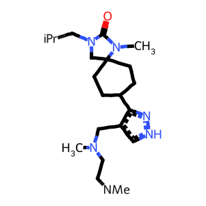 CNCCN(C)Cc1c[nH]nc1C1CCC2(CC1)CN(CC(C)C)C(=O)N2C